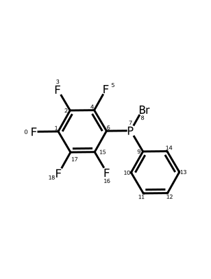 Fc1c(F)c(F)c(P(Br)c2ccccc2)c(F)c1F